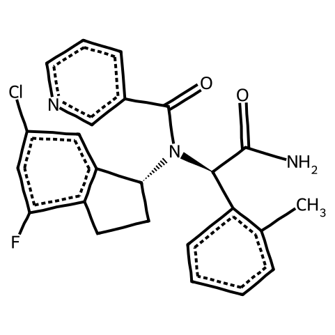 Cc1ccccc1[C@H](C(N)=O)N(C(=O)c1cccnc1)[C@@H]1CCc2c(F)cc(Cl)cc21